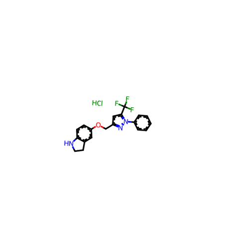 Cl.FC(F)(F)c1cc(COc2ccc3c(c2)CCN3)nn1-c1ccccc1